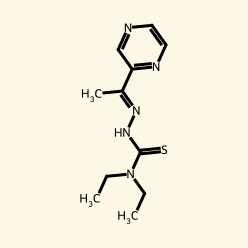 CCN(CC)C(=S)NN=C(C)c1cnccn1